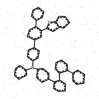 c1ccc(-c2ccc(-c3ccc(N(c4ccccc4)c4ccc(-c5ccccc5-c5ccccc5-c5ccccc5)cc4)cc3)cc2-c2cc3ccccc3o2)cc1